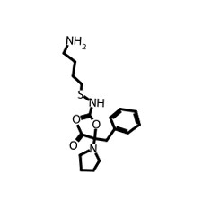 CC(=O)C(Cc1ccccc1)(OC(=O)NSCCCCN)N1CCCC1